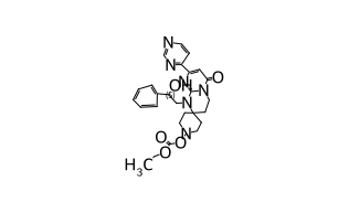 CCOC(=O)ON1CCC2(CC1)CCn1c(nc(-c3ccncn3)cc1=O)N2C[C@@H](O)c1ccccc1